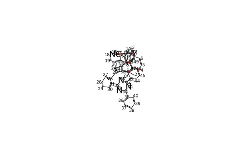 CC1(C)c2ccccc2C2(c3ccccc3-c3ccccc32)c2ccc(-c3ccccc3-c3nc(-c4ccccc4)nc(-c4cccc(-c5cccc(C#N)c5)c4)n3)cc21